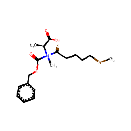 CSCCCCC(=S)[N+](C)(C(=O)OCc1ccccc1)[C@@H](C)C(=O)O